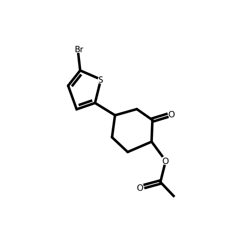 CC(=O)OC1CCC(c2ccc(Br)s2)CC1=O